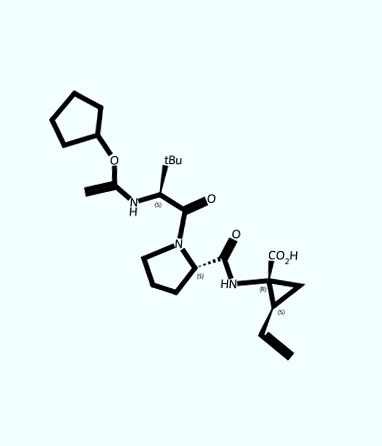 C=C[C@@H]1C[C@]1(NC(=O)[C@@H]1CCCN1C(=O)[C@@H](NC(=C)OC1CCCC1)C(C)(C)C)C(=O)O